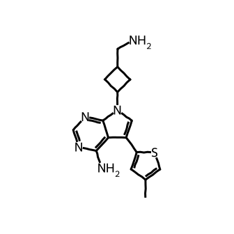 Cc1csc(-c2cn(C3CC(CN)C3)c3ncnc(N)c23)c1